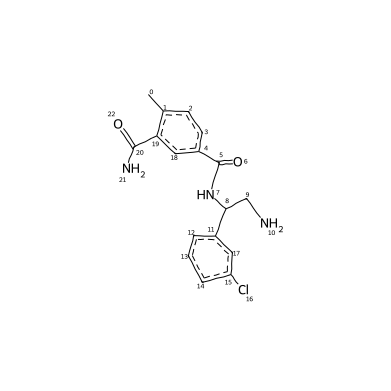 Cc1ccc(C(=O)NC(CN)c2cccc(Cl)c2)cc1C(N)=O